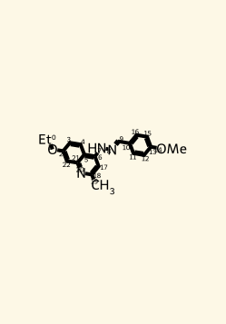 CCOc1ccc2c(N/N=C/c3ccc(OC)cc3)cc(C)nc2c1